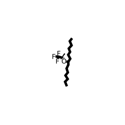 CCCCCCCC(CCCCCCC)O[C@H](C)C(F)(F)F